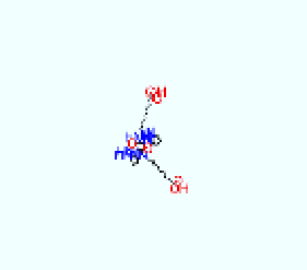 O=C(O)CCCCCCCCCCNC1=C(N2NNc3ccccc32)C(=O)C(NCCCCCCCCCCC(=O)O)=C(n2nnc3ccccc32)C1=O